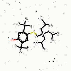 CC(C)C[Si](CSc1cc(C(C)(C)C)c(O)cc1C(C)(C)C)(CC(C)C)CC(C)C